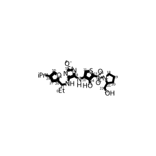 CC[C@@H](Nc1n[s+]([O-])nc1Nc1csc(S(=O)(=O)N2CCCC2CO)c1O)c1cc(C(C)C)co1